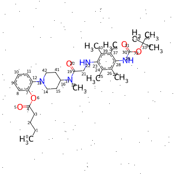 CCCCC(=O)Oc1ccccc1N1CCC(N(C)C(=O)CNc2c(C)c(C)c(NC(=O)OC(C)(C)C)c(C)c2C)CC1